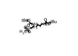 CC(C)(C)OC(=O)NCCCC[C@H](COS(C)(=O)=O)NC(=O)OC(C)(C)C